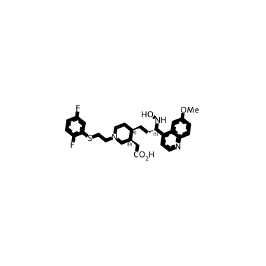 COc1ccc2nccc([C@H](CC[C@@H]3CCN(CCSc4cc(F)ccc4F)C[C@@H]3CC(=O)O)NO)c2c1